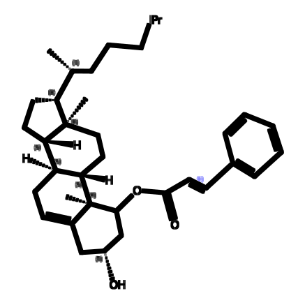 CC(C)CCC[C@@H](C)[C@H]1CC[C@H]2[C@@H]3CC=C4C[C@@H](O)CC(OC(=O)/C=C/c5ccccc5)[C@]4(C)[C@H]3CC[C@]12C